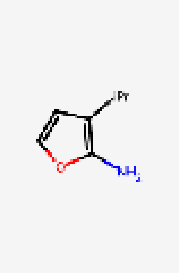 CC(C)c1ccoc1N